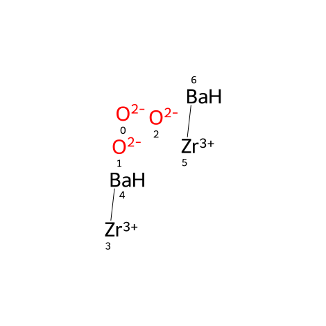 [O-2].[O-2].[O-2].[Zr+3][BaH].[Zr+3][BaH]